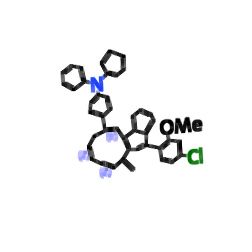 C=C1/C=C\C=C/C/C(c2ccc(N(c3ccccc3)c3ccccc3)cc2)=C\c2c1cc(-c1ccc(Cl)cc1OC)c1ccccc21